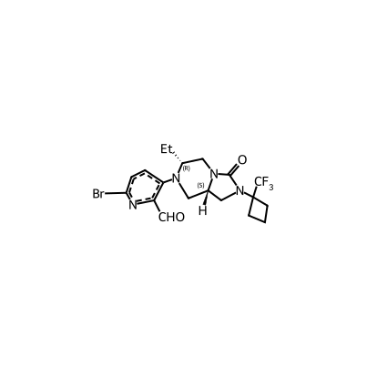 CC[C@@H]1CN2C(=O)N(C3(C(F)(F)F)CCC3)C[C@@H]2CN1c1ccc(Br)nc1C=O